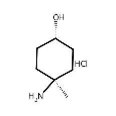 C[C@]1(N)CC[C@H](O)CC1.Cl